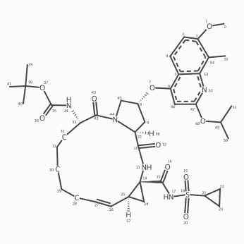 COc1ccc2c(O[C@@H]3C[C@H]4C(=O)N[C@]5(C(=O)NS(=O)(=O)C6CC6)C[C@H]5/C=C\CCCCC[C@H](NC(=O)OC(C)(C)C)C(=O)N4C3)cc(OC(C)C)nc2c1C